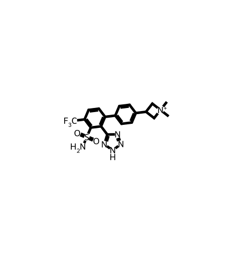 C[N+]1(C)CC(c2ccc(-c3ccc(C(F)(F)F)c(S(N)(=O)=O)c3-c3nn[nH]n3)cc2)C1